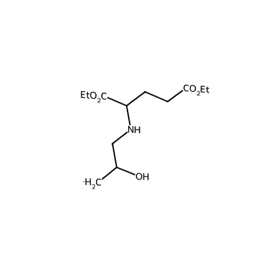 [CH2]C(O)CNC(CCC(=O)OCC)C(=O)OCC